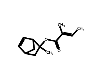 C/C=C(\C)C(=O)OC1(C)CC2C=CC1C2